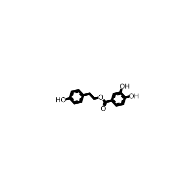 O=C(OCCc1ccc(O)cc1)c1ccc(O)c(O)c1